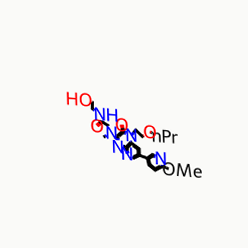 CCCOCCn1c(=O)c(N(C)CC(=O)NCCO)nc2ncc(-c3ccc(OC)nc3)cc21